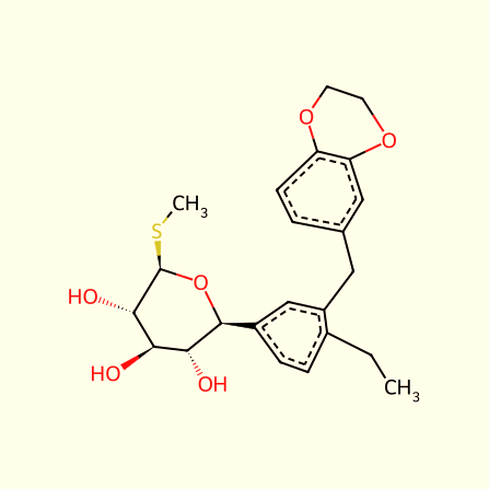 CCc1ccc([C@@H]2O[C@H](SC)[C@@H](O)[C@H](O)[C@H]2O)cc1Cc1ccc2c(c1)OCCO2